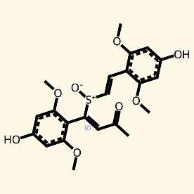 COc1cc(O)cc(OC)c1C=C[S+]([O-])/C(=C\C(C)=O)c1c(OC)cc(O)cc1OC